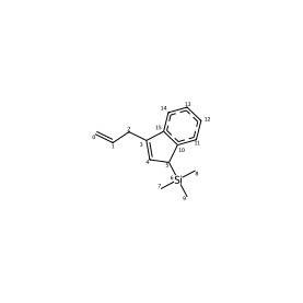 C=CCC1=CC([Si](C)(C)C)c2ccccc21